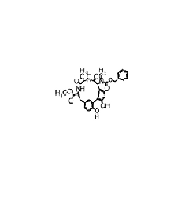 COC(=O)[C@@H]1Cc2ccc(O)c(c2)-c2cc(ccc2O)[C@H](N(C)C(=O)OCc2ccccc2)C(=O)N[C@@H](C)C(=O)N1